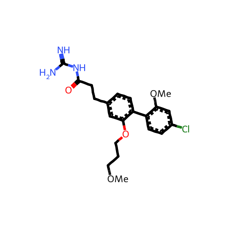 COCCCOc1cc(CCC(=O)NC(=N)N)ccc1-c1ccc(Cl)cc1OC